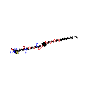 [CH2]CCCCCCCCCCOCCOCCOCCOc1ccc(OCC(=O)NCCOCCOCCNC(=O)CCCC[C@@H]2SCC3NC(=O)NC32)cc1